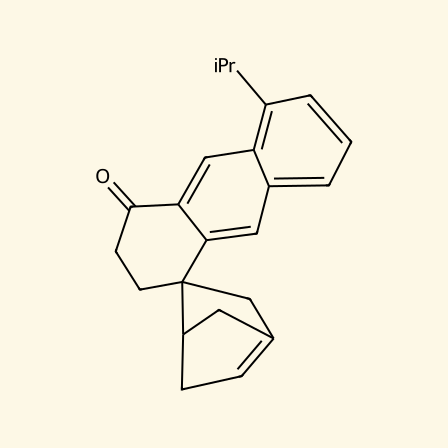 CC(C)c1cccc2cc3c(cc12)C(=O)CCC31CC2=CCC1C2